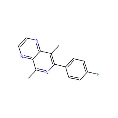 Cc1nc(-c2ccc(F)cc2)c(C)c2nccnc12